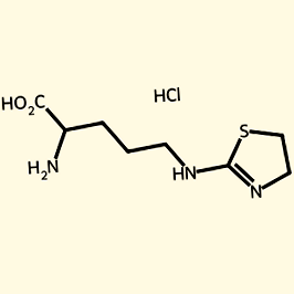 Cl.NC(CCCNC1=NCCS1)C(=O)O